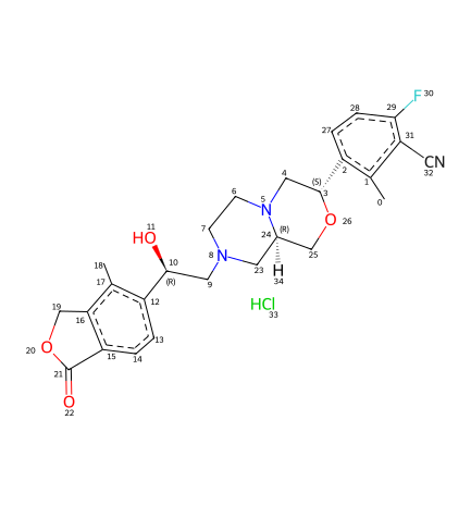 Cc1c([C@H]2CN3CCN(C[C@H](O)c4ccc5c(c4C)COC5=O)C[C@@H]3CO2)ccc(F)c1C#N.Cl